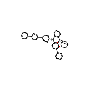 c1ccc(-c2ccc(-c3ccc(N(c4ccc(-c5ccccc5)cc4)c4ccccc4C4C5CC6CC(C5)CC4C6)cc3)cc2)cc1